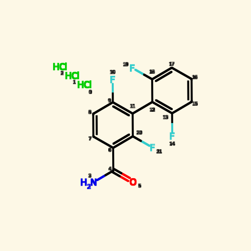 Cl.Cl.Cl.NC(=O)c1ccc(F)c(-c2c(F)cccc2F)c1F